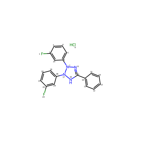 Cl.Fc1cccc(N2N=C(c3ccccc3)NN2c2cccc(F)c2)c1